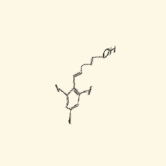 OCCCC=Cc1c(I)cc(I)cc1I